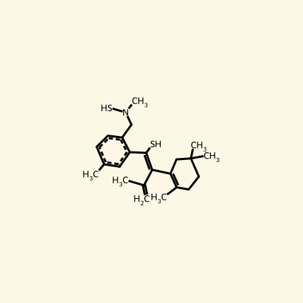 C=C(C)/C(C1=C(C)CCC(C)(C)C1)=C(/S)c1cc(C)ccc1CN(C)S